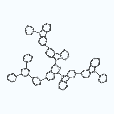 c1ccc(-c2cc(-c3ccccc3)cc(-c3cccc(-c4ccc5c(-n6c7ccccc7c7cc(-c8ccc9c(c8)c8ccccc8n9-c8ccccc8)ccc76)nc(-n6c7ccccc7c7cc(-c8ccc9c(c8)c8ccccc8n9-c8ccccc8)ccc76)cc5c4)c3)c2)cc1